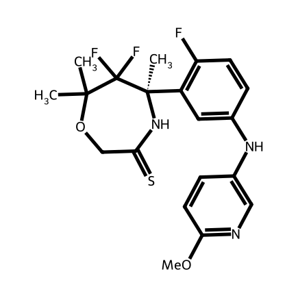 COc1ccc(Nc2ccc(F)c([C@@]3(C)NC(=S)COC(C)(C)C3(F)F)c2)cn1